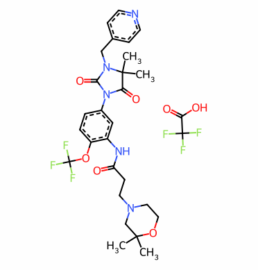 CC1(C)CN(CCC(=O)Nc2cc(N3C(=O)N(Cc4ccncc4)C(C)(C)C3=O)ccc2OC(F)(F)F)CCO1.O=C(O)C(F)(F)F